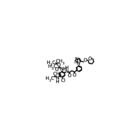 CC(C)Nc1cc(NC(=O)OC(C)(C)C)c(NC(=O)CC(=O)c2cccc(-n3nncc3COC3CCCCO3)c2)cc1Cl